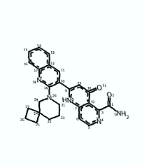 NC(=O)c1nccc2[nH]c(-c3cc4ccccc4nc3N3CCCC4(CCC4)C3)cc(=O)c12